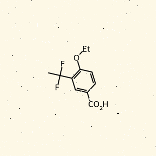 CCOc1ccc(C(=O)O)cc1C(C)(F)F